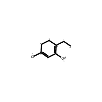 CCC1=C(O)C=C(Cl)CC1